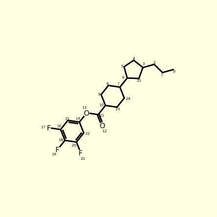 CCCC1CCC(C2CCC(C(=O)Oc3cc(F)c(F)c(F)c3)CC2)C1